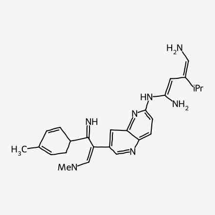 CN/C=C(\C(=N)C1C=CC(C)=CC1)c1cnc2ccc(N/C(N)=C/C(=C\N)C(C)C)nc2c1